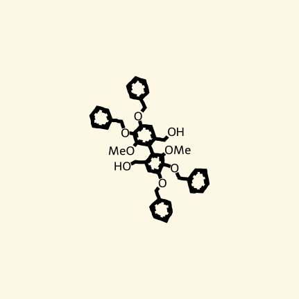 COc1c(OCc2ccccc2)c(OCc2ccccc2)cc(CO)c1-c1c(CO)cc(OCc2ccccc2)c(OCc2ccccc2)c1OC